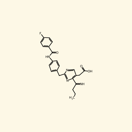 CCCC(=N)c1nc(Cc2ccc(NC(=O)c3ccc(F)cc3)cc2)ncc1CC(=O)O